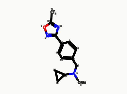 CON(Cc1ccc(-c2noc(C(F)(F)F)n2)cc1)C1CC1